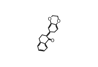 O=C1C(=C2C=C3OCCOC3=CC2)CCc2ccccc21